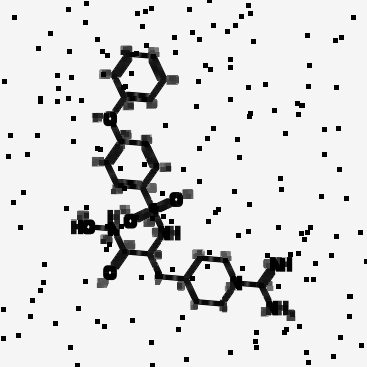 N=C(N)N1CCC(CC(NS(=O)(=O)c2ccc(Oc3ccccc3)cc2)C(=O)NO)CC1